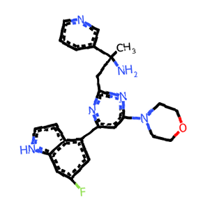 CC(N)(Cc1nc(-c2cc(F)cc3[nH]ccc23)cc(N2CCOCC2)n1)c1cccnc1